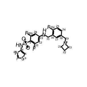 O=S(=O)(Nc1cscn1)c1c(F)cc(NCc2cc(CN3CCC3)ccc2F)cc1F